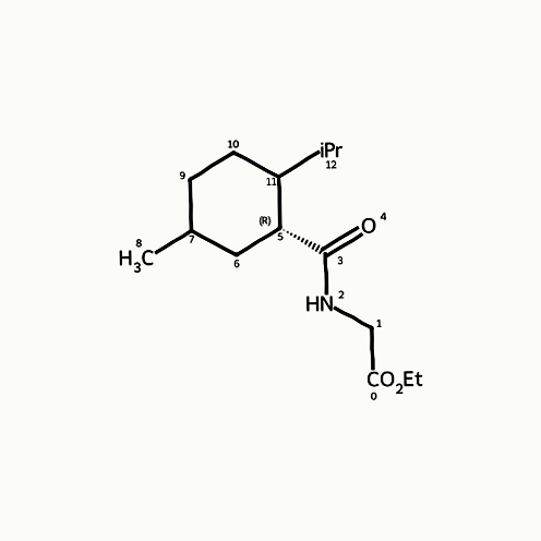 CCOC(=O)CNC(=O)[C@@H]1CC(C)CCC1C(C)C